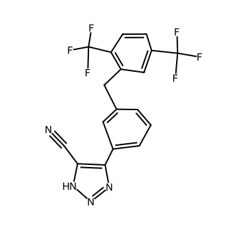 N#Cc1[nH]nnc1-c1cccc(Cc2cc(C(F)(F)F)ccc2C(F)(F)F)c1